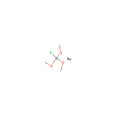 CO[Si](F)(OC)OC.[Ru]